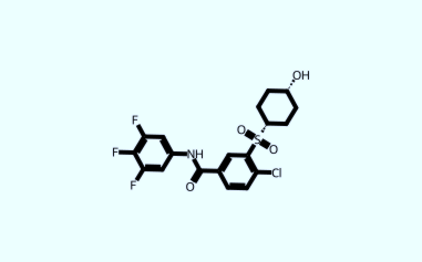 O=C(Nc1cc(F)c(F)c(F)c1)c1ccc(Cl)c(S(=O)(=O)[C@H]2CC[C@@H](O)CC2)c1